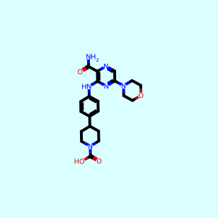 NC(=O)c1ncc(N2CCOCC2)nc1Nc1ccc(C2CCN(C(=O)O)CC2)cc1